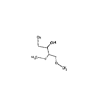 COCC(OC)C(O)CO